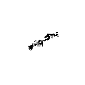 Cn1cc(OCC(=O)N[C@H]2CC[C@H](CCN3CCc4ccc(OCC(F)F)nc4CC3)CC2)cn1